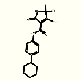 CCC1(CC)NC(=O)C(C(=O)Nc2ccc(C3CCCCC3)cc2)=C1O